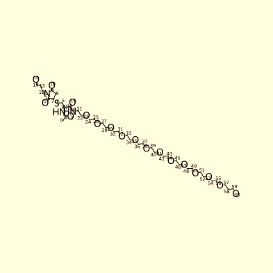 CC(=O)N[C@@H](CSC1CC(=O)N(CCC=O)C1=O)C(=O)NCCOCCOCCOCCOCCOCCOCCOCCOCCOCCOCCOCCOCCC=O